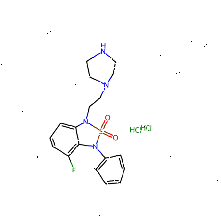 Cl.Cl.O=S1(=O)N(CCN2CCNCC2)c2cccc(F)c2N1c1ccccc1